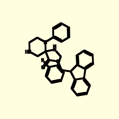 O=C(OCC1c2ccccc2-c2ccccc21)C1(NCc2ccccc2F)CNCCN1c1ccccc1